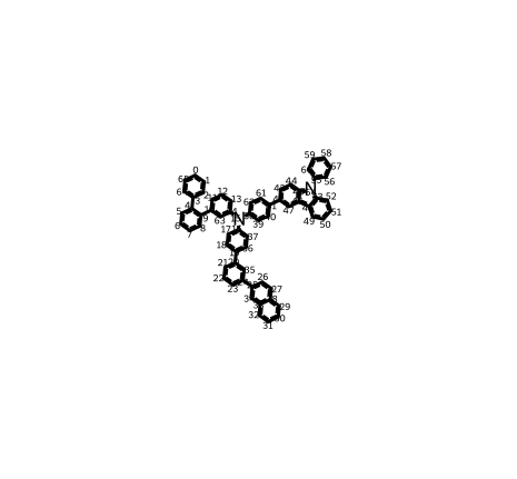 c1ccc(-c2ccccc2-c2cccc(N(c3ccc(-c4cccc(-c5ccc6ccccc6c5)c4)cc3)c3ccc(-c4ccc5c(c4)c4ccccc4n5-c4ccccc4)cc3)c2)cc1